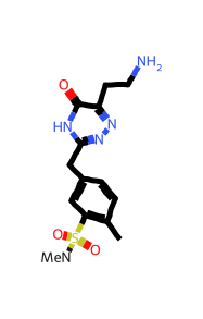 CNS(=O)(=O)c1cc(Cc2nnc(CCN)c(=O)[nH]2)ccc1C